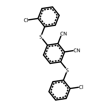 N#Cc1c(Sc2ccccc2Cl)ccc(Sc2ccccc2Cl)c1C#N